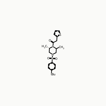 CC1CN(S(=O)(=O)c2ccc(C(C)(C)C)cc2)C[C@H](C)N1C(=O)Cc1cccs1